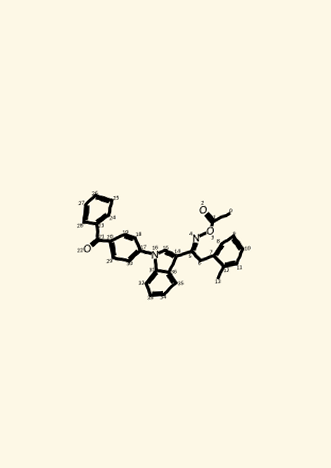 CC(=O)O/N=C(\Cc1ccccc1C)c1cn(-c2ccc(C(=O)c3ccccc3)cc2)c2ccccc12